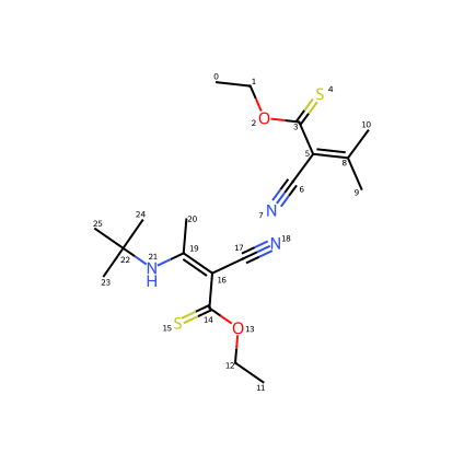 CCOC(=S)C(C#N)=C(C)C.CCOC(=S)C(C#N)=C(C)NC(C)(C)C